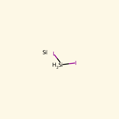 I[SiH2]I.[Si]